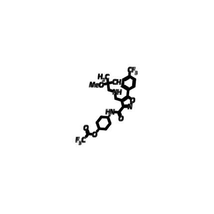 COC(C)(C)CNCc1c(C(=O)N[C@H]2CC[C@H](OC(=O)C(F)(F)F)CC2)noc1-c1ccc(C(F)(F)F)cc1